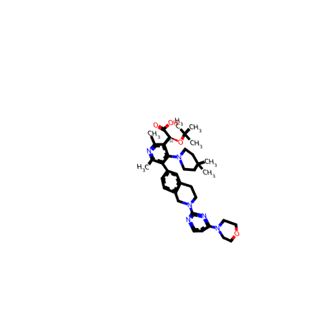 Cc1nc(C)c([C@H](OC(C)(C)C)C(=O)O)c(N2CCC(C)(C)CC2)c1-c1ccc2c(c1)CCN(c1nccc(N3CCOCC3)n1)C2